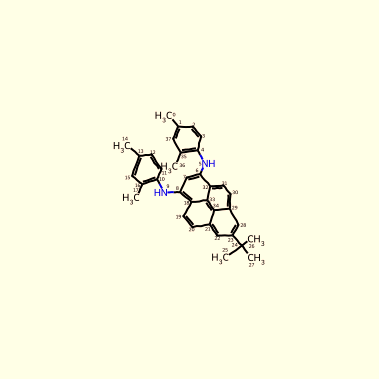 Cc1ccc(Nc2cc(Nc3ccc(C)cc3C)c3ccc4cc(C(C)(C)C)cc5ccc2c3c54)c(C)c1